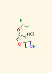 Cl.FC(F)OC1COC2(CNC2)C1